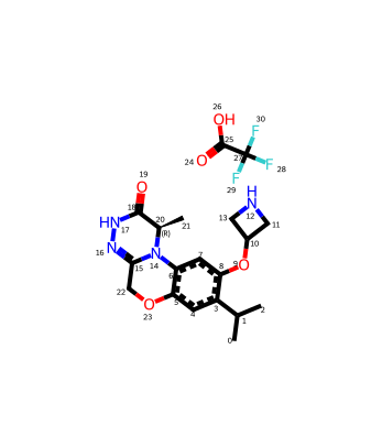 CC(C)c1cc2c(cc1OC1CNC1)N1C(=NNC(=O)[C@H]1C)CO2.O=C(O)C(F)(F)F